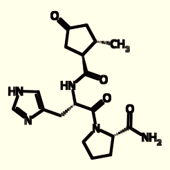 C[C@H]1CC(=O)C[C@@H]1C(=O)N[C@@H](Cc1c[nH]cn1)C(=O)N1CCC[C@H]1C(N)=O